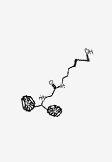 O=C(CNC([C]12[CH]3[CH]4[CH]5[CH]1[Fe]45321678[CH]2[CH]1[CH]6[CH]7[CH]28)[C]12[CH]3[CH]4[CH]5[CH]1[Fe]45321678[CH]2[CH]1[CH]6[CH]7[CH]28)NCCCCCCO